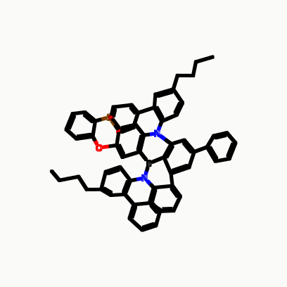 CCCCc1ccc(N2B3c4cc5c(cc4N(c4ccc(CCCC)cc4-c4ccccc4)c4cc(-c6ccccc6)cc(c43)-c3ccccc32)Sc2ccccc2O5)c(-c2ccccc2)c1